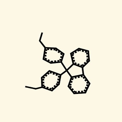 CCc1ccc(C2(c3ccc(CC)cc3)c3ccccc3-c3ccccc32)cc1